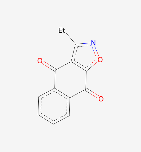 CCc1noc2c1C(=O)c1ccccc1C2=O